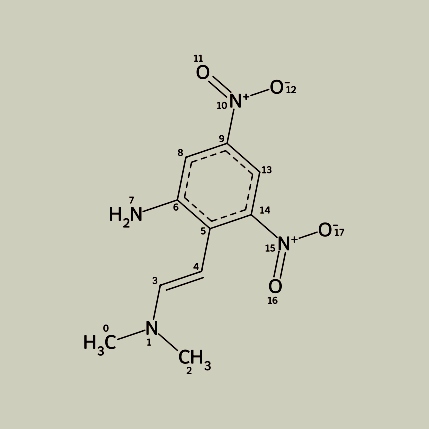 CN(C)C=Cc1c(N)cc([N+](=O)[O-])cc1[N+](=O)[O-]